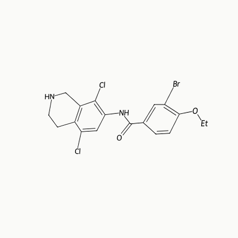 CCOc1ccc(C(=O)Nc2cc(Cl)c3c(c2Cl)CNCC3)cc1Br